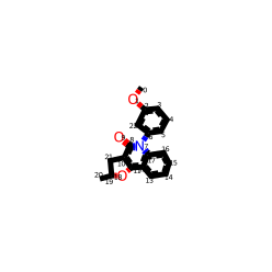 COc1cccc(-n2c(=O)c3c(c4ccccc42)OC(C)C3)c1